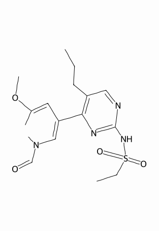 CCCc1cnc(NS(=O)(=O)CC)nc1C(/C=C(\C)OC)=C/N(C)C=O